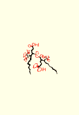 CCCCCCCC(C(CCC(=O)O)C(=O)OC(=O)C(CCC(=O)O)C(CCCCCCC)[Si](OC)(OC)OC)[Si](OC)(OC)OC